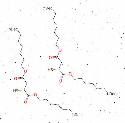 CCCCCCCCCCCCCCCCOC(=O)CC(S)C(=O)OCCCCCCCCCCCCCCCC.CCCCCCCCCCCCCCCCOC(=O)CC(S)C(=O)OCCCCCCCCCCCCCCCC